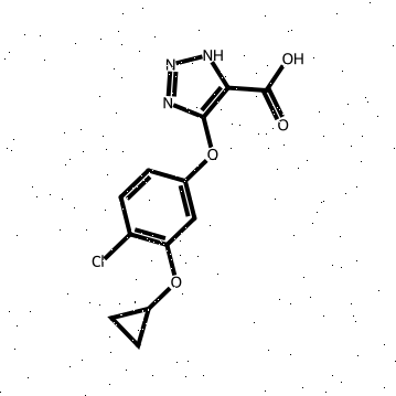 O=C(O)c1[nH]nnc1Oc1ccc(Cl)c(OC2CC2)c1